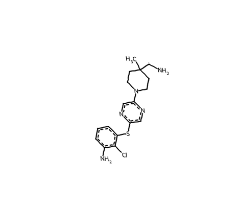 CC1([CH]N)CCN(c2cnc(Sc3cccc(N)c3Cl)cn2)CC1